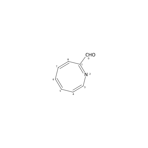 O=CC1=NC=CC=CC=C1